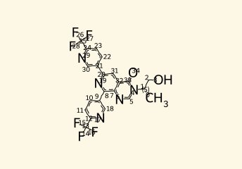 C[C@@H](CO)n1cnc2c(-c3ccc(C(F)(F)F)nc3)nc(-c3ccc(C(F)(F)F)nc3)cc2c1=O